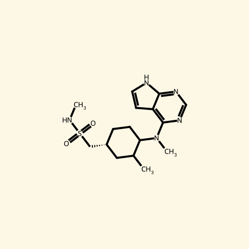 CNS(=O)(=O)C[C@@H]1CCC(N(C)c2ncnc3[nH]ccc23)C(C)C1